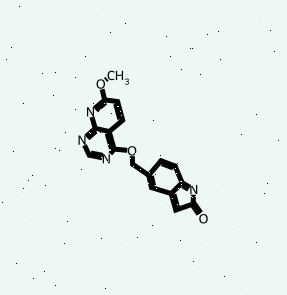 COc1ccc2c(OCc3ccc4c(c3)=CC(=O)N=4)ncnc2n1